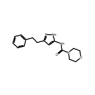 O=C(Nc1cc(CCc2ccccc2)n[nH]1)N1CCOCC1